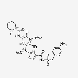 CCCCCCN(C(=O)[C@@H](NC(=O)[C@H]1CCCCN1C)[C@@H](C)CC)[C@H](C[C@@H](OC(C)=O)c1nc(C(=O)NS(=O)(=O)Cc2ccc(N)cc2)cs1)C(C)C